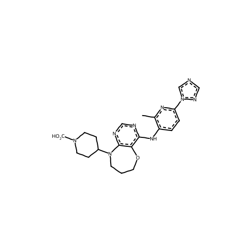 Cc1nc(-n2cncn2)ccc1Nc1ncnc2c1OCCCN2C1CCN(C(=O)O)CC1